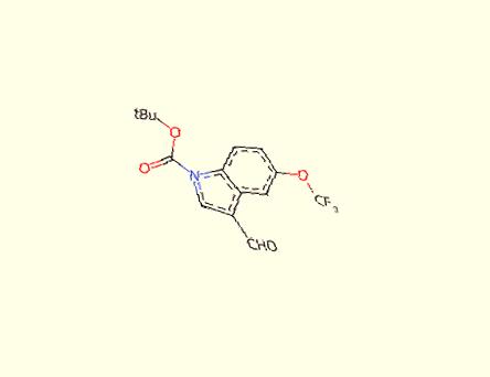 CC(C)(C)OC(=O)n1cc(C=O)c2cc(OC(F)(F)F)ccc21